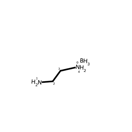 B.NCCN